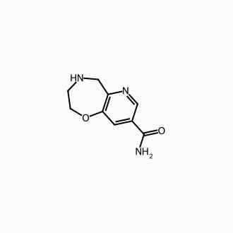 NC(=O)c1cnc2c(c1)OCCNC2